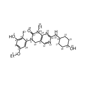 CCOc1cc(O)c(F)c(N2Cc3cnc(NC4CCC(O)CC4)nc3N(CC)C2=O)c1